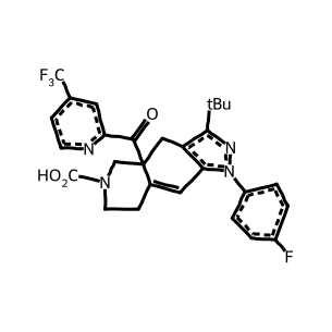 CC(C)(C)c1nn(-c2ccc(F)cc2)c2c1CC1(C(=O)c3cc(C(F)(F)F)ccn3)CN(C(=O)O)CCC1=C2